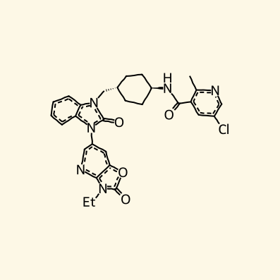 CCn1c(=O)oc2cc(-n3c(=O)n(C[C@H]4CC[C@H](NC(=O)c5cc(Cl)cnc5C)CC4)c4ccccc43)cnc21